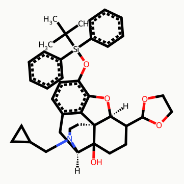 CC(C)(C)[Si](Oc1ccc2c3c1O[C@H]1C(C4OCCO4)CCC4(O)[C@@H](C2)N(CC2CC2)CC[C@]314)(c1ccccc1)c1ccccc1